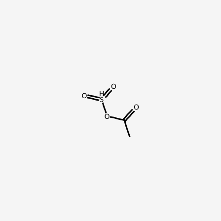 CC(=O)O[SH](=O)=O